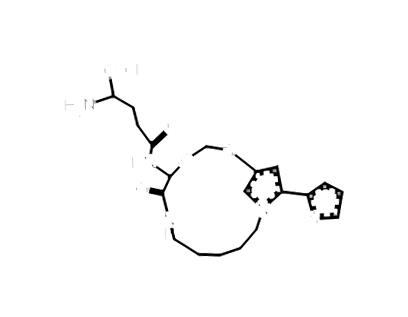 NC(CCC(=O)NC1CCSc2cc(-c3cccs3)n(c2)CCCCCNC1=O)C(=O)O